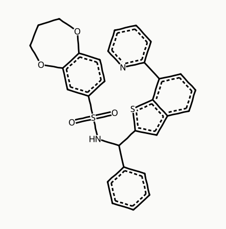 O=S(=O)(NC(c1ccccc1)c1cc2cccc(-c3ccccn3)c2s1)c1ccc2c(c1)OCCCO2